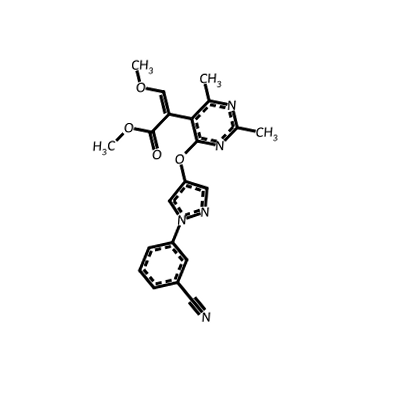 CO/C=C(\C(=O)OC)c1c(C)nc(C)nc1Oc1cnn(-c2cccc(C#N)c2)c1